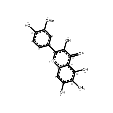 COc1cc(-c2oc3cc(O)c(C)c(O)c3c(=O)c2O)ccc1O